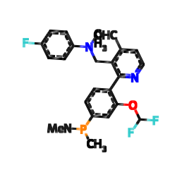 CNP(C)c1ccc(-c2nccc(C=O)c2CN(C)c2ccc(F)cc2)c(OC(F)F)c1